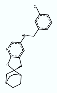 Clc1cccc(CNc2cnc3c(c2)C[C@@]2(CN4CCC2CC4)O3)c1